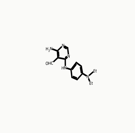 CCN(CC)c1ccc(Nc2ncnc(N)c2C=O)cc1